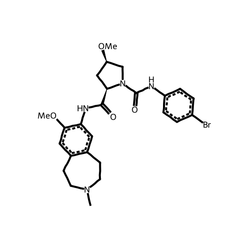 COc1cc2c(cc1NC(=O)[C@H]1C[C@@H](OC)CN1C(=O)Nc1ccc(Br)cc1)CCN(C)CC2